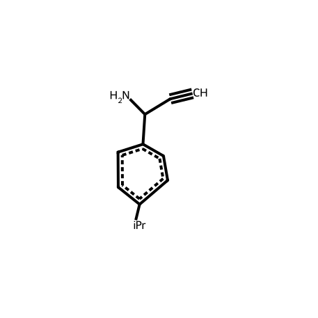 C#CC(N)c1ccc(C(C)C)cc1